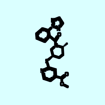 COC(=O)c1ccnc(S[C@@H]2CC[C@@H](C)N(C(=O)c3ccccc3-n3nccn3)C2)c1